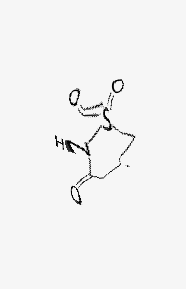 O=C1[CH]CS(=O)(=O)N1